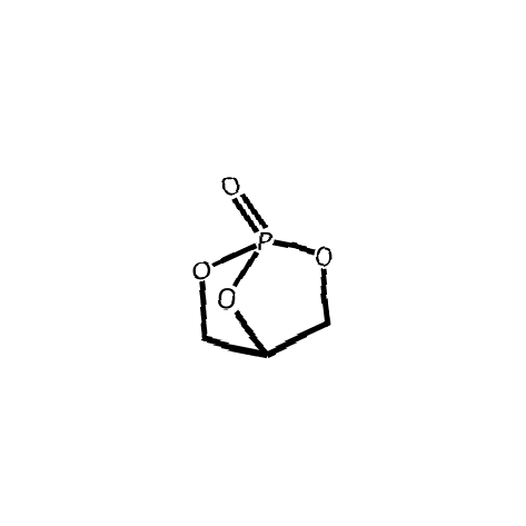 O=P12OCC(CO1)O2